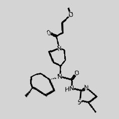 COCCC(=O)N1CCC(N(C(=O)NC2=NCC(C)S2)[C@H]2CC[C@H](C)CC2)CC1